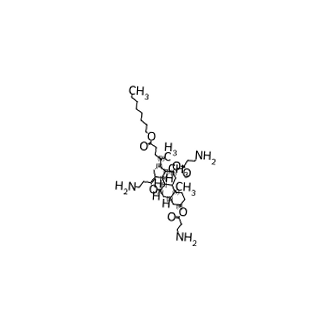 CCCCCCCCOC(=O)CC[C@@H](C)[C@H]1CC2=C(CCN)O[C@@H]3C[C@@H]4C[C@H](OC(=O)CCN)CC[C@]4(C)C4C[C@H](OC(=O)CCN)[C@@]1(C)[C@@H]2[C@@H]43